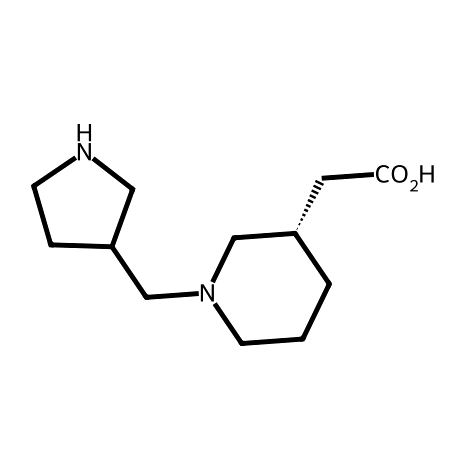 O=C(O)C[C@@H]1CCCN(CC2CCNC2)C1